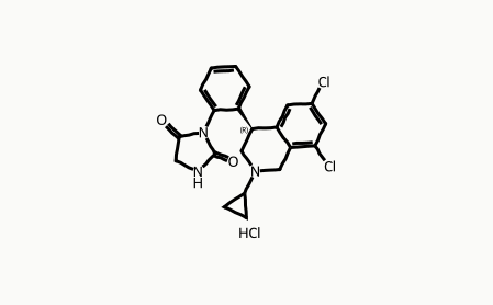 Cl.O=C1CNC(=O)N1c1ccccc1[C@@H]1CN(C2CC2)Cc2c(Cl)cc(Cl)cc21